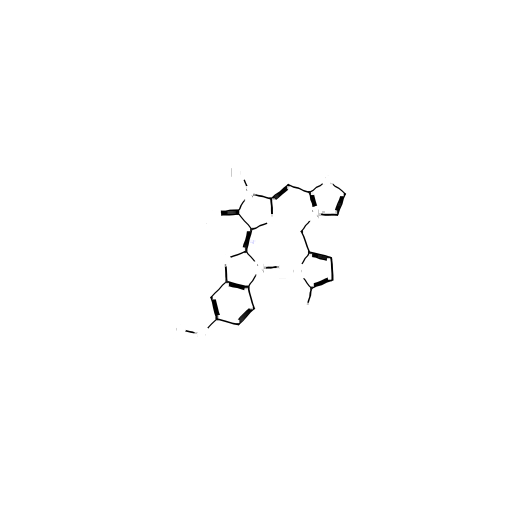 C=C1/C(=C2\Sc3cc(OC(F)(F)F)ccc3N2C)S/C(=C\c2scc[n+]2Cc2ccc(C(F)(F)F)o2)N1CC